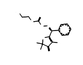 CCCCCCCCCCCCNC(=O)O/N=C(\C1=C(Br)C(=O)C(C)(C)O1)c1ccccc1